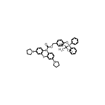 CC(C)(C)[Si](Oc1ccc(COC(=O)N2c3ccc(N4CCCC4)cc3Sc3cc(N4CCCC4)ccc32)cc1)(c1ccccc1)c1ccccc1